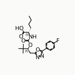 CCCC[C@H](NC(=O)O[C@@H](Cc1nnc(-c2ccc(F)cc2)o1)C(C)(C)C)C(=O)O